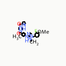 C=C/N=c1/c(Nc2ccc(C(=O)N3CCN(C(=O)[C@@H]4CCCN4)CC3)c(C)c2)nccn1CC1=CC(F)=C(OC)C=CC1